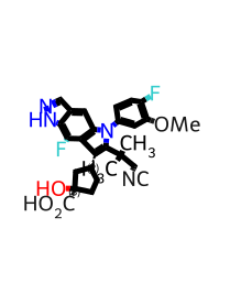 COc1cc(-n2c(C(C)(C)CC#N)c([C@@H]3CC[C@@](O)(C(=O)O)C3)c3c(F)c4[nH]ncc4cc32)ccc1F